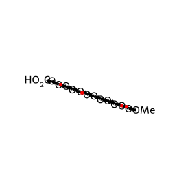 COCCOCCOCCOCCOCCOCCOCCOCCOCCOCCOCCOCCOCC(=O)O